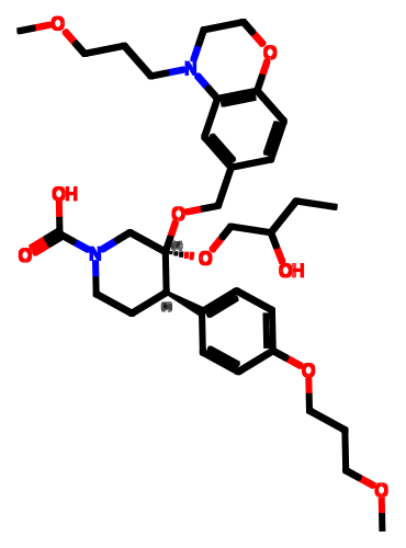 CCC(O)CO[C@@]1(OCc2ccc3c(c2)N(CCCOC)CCO3)CN(C(=O)O)CC[C@@H]1c1ccc(OCCCOC)cc1